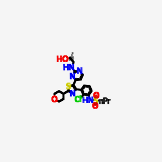 CCCS(=O)(=O)Nc1cccc(-c2nc(C3CCOCC3)sc2-c2ccnc(NC[C@@H](C)O)n2)c1Cl